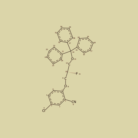 N#Cc1cc(Cl)ccc1OC[C@@H](F)COC(c1ccccc1)(c1ccccc1)c1ccccc1